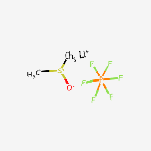 C[S+](C)[O-].F[P-](F)(F)(F)(F)F.[Li+]